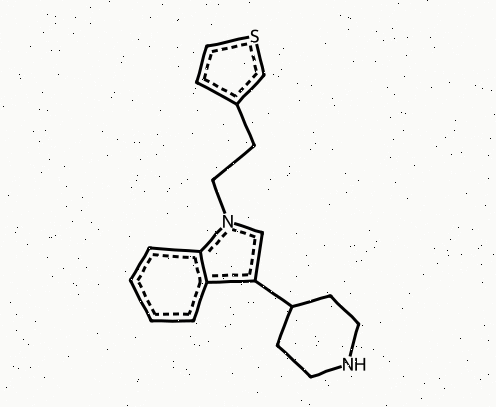 c1ccc2c(c1)c(C1CCNCC1)cn2CCc1ccsc1